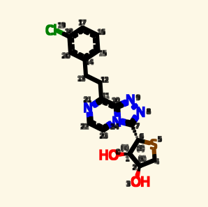 O[C@@H]1[C@H](O)CS[C@H]1c1nnc2c(CCc3cccc(Cl)c3)nccn12